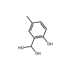 Cc1ccc(O)c(C(O)O)c1